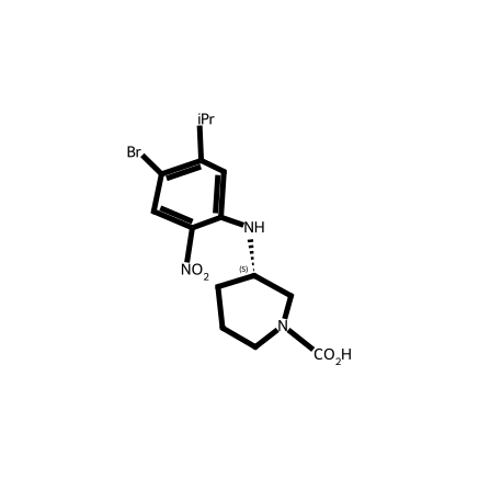 CC(C)c1cc(N[C@H]2CCCN(C(=O)O)C2)c([N+](=O)[O-])cc1Br